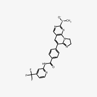 C[S+]([O-])c1ncc2c(n1)N1CCN=C1C(c1ccc(C(=O)Nc3cc(C(F)(F)F)ccn3)cc1)=C2